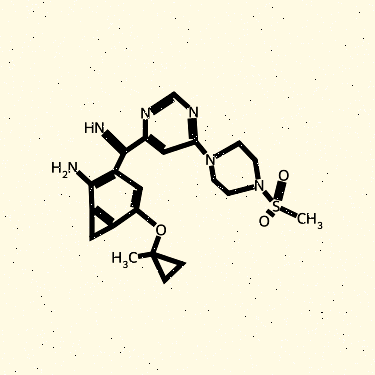 CC1(Oc2cc(C(=N)c3cc(N4CCN(S(C)(=O)=O)CC4)ncn3)c(N)c3c2C3)CC1